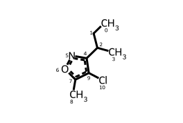 CCC(C)c1noc(C)c1Cl